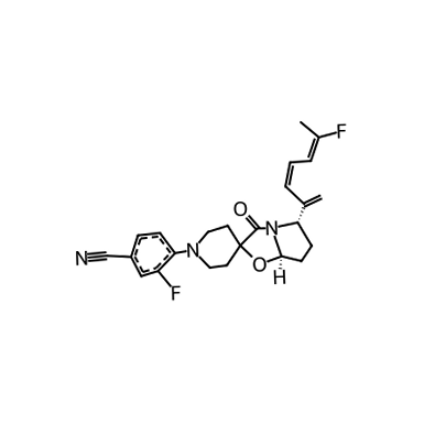 C=C(/C=C\C=C(/C)F)[C@@H]1CC[C@H]2OC3(CCN(c4ccc(C#N)cc4F)CC3)C(=O)N21